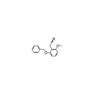 COc1cccc(OCc2ccccc2)c1CC#N